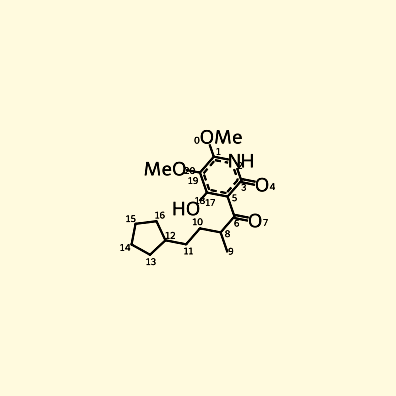 COc1[nH]c(=O)c(C(=O)C(C)CCC2CCCC2)c(O)c1OC